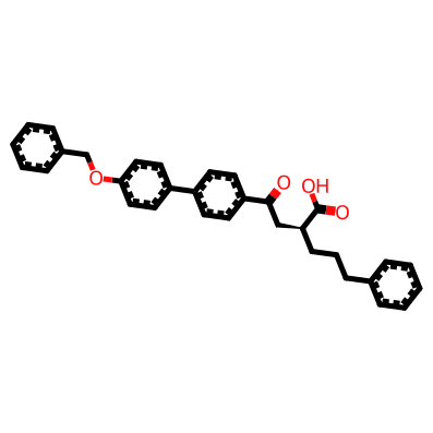 O=C(C[C@H](CCCc1ccccc1)C(=O)O)c1ccc(-c2ccc(OCc3ccccc3)cc2)cc1